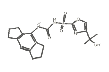 CC(C)(O)c1coc(S(=O)(=O)NC(=O)Nc2c3c(cc4c2CCC4)CCC3)n1